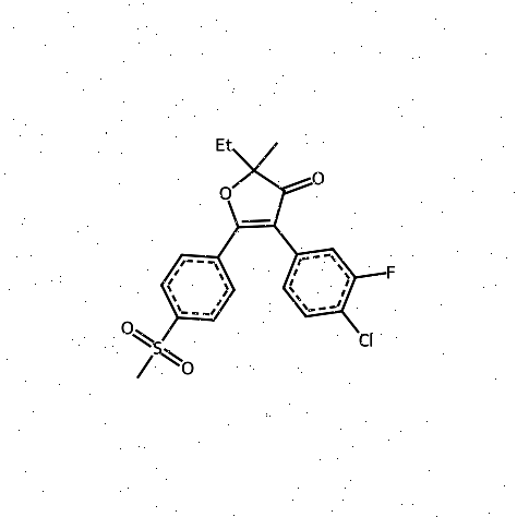 CCC1(C)OC(c2ccc(S(C)(=O)=O)cc2)=C(c2ccc(Cl)c(F)c2)C1=O